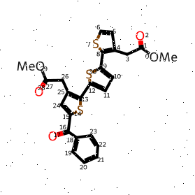 COC(=O)Cc1ccsc1-c1ccc(-c2sc(C(=O)c3ccccc3)cc2CC(=O)OC)s1